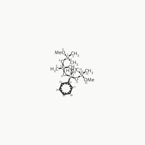 CO[Si](C)(C)O[Si](C)(C)O[Si](C)(O[Si](C)(C)OC)c1ccccc1